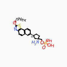 CCCCCCOc1nc2ccc3cc([C@H]4CC[C@](N)(COP(=O)(O)O)C4)ccc3c2s1